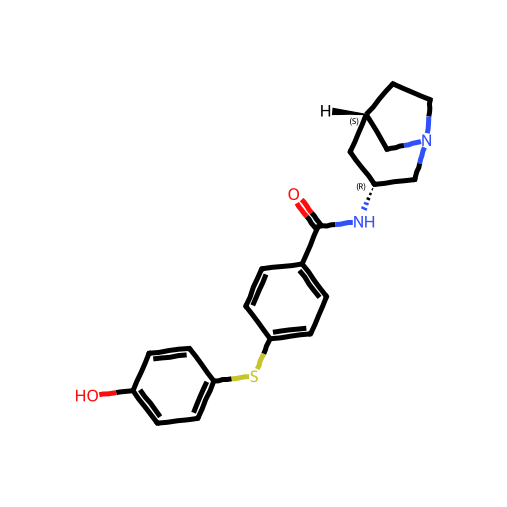 O=C(N[C@@H]1C[C@@H]2CCN(C2)C1)c1ccc(Sc2ccc(O)cc2)cc1